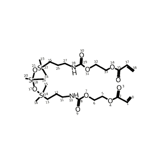 C=CC(=O)OCCOC(=O)NCCC[Si](C)(C)O[Si](C)(C)O[Si](C)(C)CCCNC(=O)OCCOC(=O)C=C